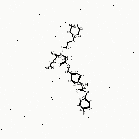 N#CCOC(=O)[C@H](COCCN1CCOCC1)NC(=O)OCc1ccc(NC(=O)Cc2ccc(F)cc2)cc1